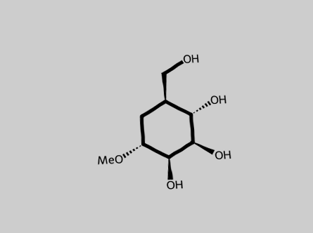 CO[C@@H]1C[C@@H](CO)[C@H](O)[C@@H](O)[C@H]1O